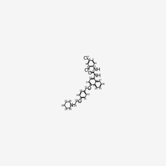 O=C(Nc1ccc(Cl)cc1Cl)Nc1ccc(OCc2ccc(OCCN3CCCCC3)cc2)c2ccccc12